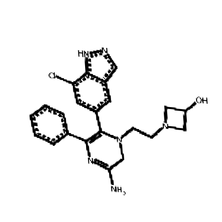 NC1=NC(c2ccccc2)=C(c2cc(Cl)c3[nH]ncc3c2)N(CCN2CC(O)C2)C1